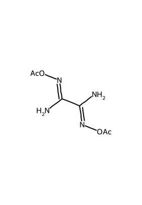 CC(=O)O/N=C(N)/C(N)=N/OC(C)=O